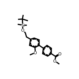 COC(=O)c1ccc(-c2ccc(CCO[Si](C)(C)C(C)(C)C)cc2OC)cc1